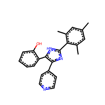 Cc1cc(C)c(-c2nc(-c3ccncc3)c(-c3ccccc3O)[nH]2)c(C)c1